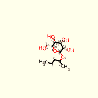 CCCC(C)O[C@H]1O[C@H](CO)[C@@H](O)[C@H](O)[C@@H]1O